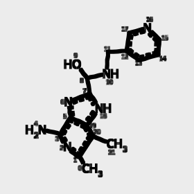 Cc1nc(N)c2nc(C(O)NCc3cccnc3)[nH]c2c1C